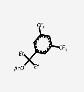 CCC(CC)(OC(C)=O)c1cc(C(F)(F)F)cc(C(F)(F)F)c1